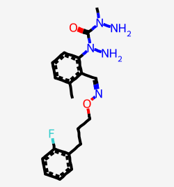 Cc1cccc(N(N)C(=O)N(C)N)c1/C=N\OCCCc1ccccc1F